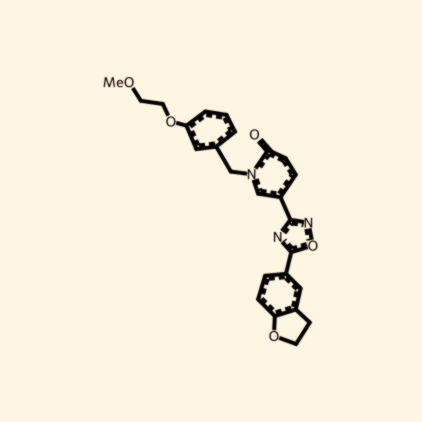 COCCOc1cccc(Cn2cc(-c3noc(-c4ccc5c(c4)CCO5)n3)ccc2=O)c1